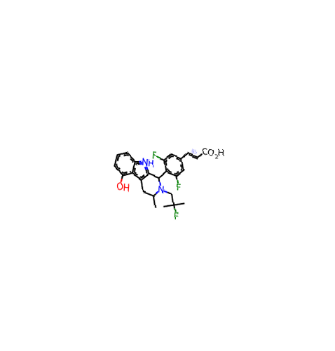 CC1Cc2c([nH]c3cccc(O)c23)C(c2c(F)cc(/C=C/C(=O)O)cc2F)N1CC(C)(C)F